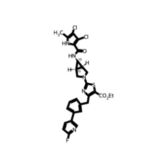 CCOC(=O)c1sc(N2C[C@@H]3[C@H](C2)[C@H]3NC(=O)c2[nH]c(C)c(Cl)c2Cl)nc1Cc1cccc(-c2ccc(F)nc2)c1